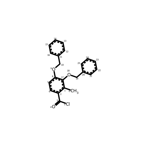 Cc1c(C(=O)Cl)ccc(OCc2ccccc2)c1OCc1ccccc1